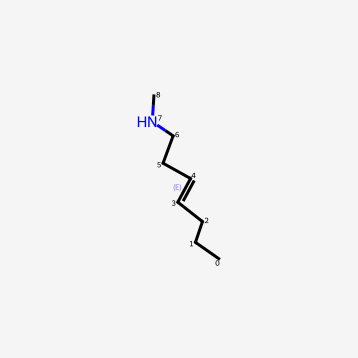 CCC/C=C/CCNC